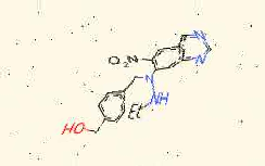 CCNN(Cc1ccc(CO)cc1)c1cc2ncncc2cc1[N+](=O)[O-]